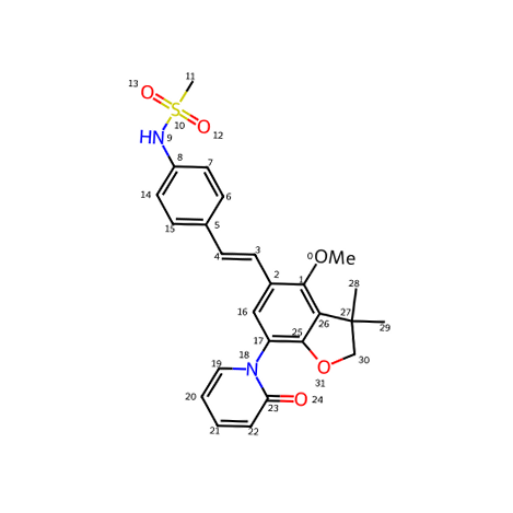 COc1c(/C=C/c2ccc(NS(C)(=O)=O)cc2)cc(-n2ccccc2=O)c2c1C(C)(C)CO2